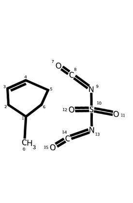 CC1CC=CCC1.O=C=NS(=O)(=O)N=C=O